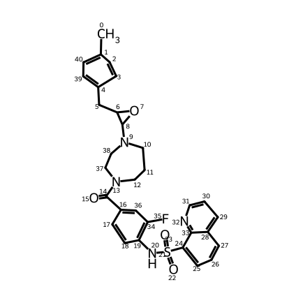 Cc1ccc(CC2OC2N2CCCN(C(=O)c3ccc(NS(=O)(=O)c4cccc5cccnc45)c(F)c3)CC2)cc1